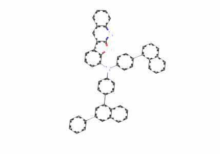 c1ccc(-c2cc(-c3ccc(N(c4ccc(-c5cccc6ccccc56)cc4)c4cccc5c4oc4nc6ccccc6cc45)cc3)c3ccccc3c2)cc1